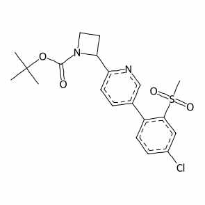 CC(C)(C)OC(=O)N1CCC1c1ccc(-c2ccc(Cl)cc2S(C)(=O)=O)cn1